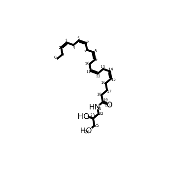 CC/C=C\C/C=C\C/C=C\C/C=C\C/C=C\CCCC(=O)NCC(O)CO